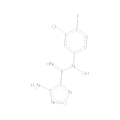 N=C(c1nonc1N)N(O)c1ccc(F)c(Cl)c1